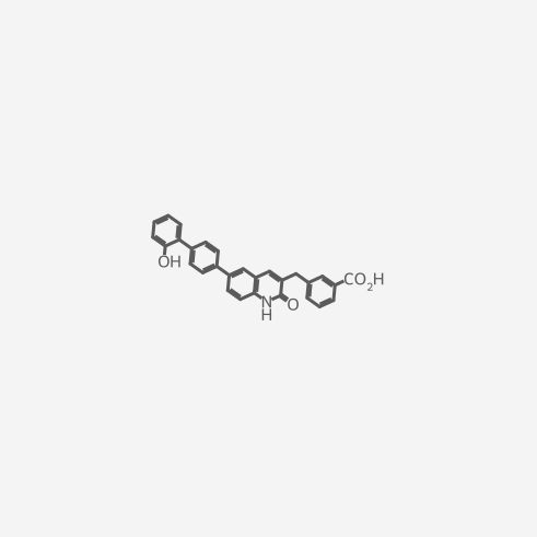 O=C(O)c1cccc(Cc2cc3cc(-c4ccc(-c5ccccc5O)cc4)ccc3[nH]c2=O)c1